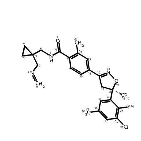 C=NCC1(CNC(=O)c2ccc(C3=NO[C@](c4cc(C(F)(F)F)cc(Cl)c4F)(C(F)(F)F)C3)cc2C)CC1